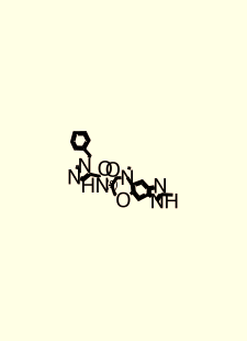 Cc1nc2cc3c(cc2[nH]1)OC[C@H](NC(=O)c1cncn1Cc1ccccc1)C(=O)N3C